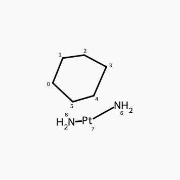 C1CCCCC1.[NH2][Pt][NH2]